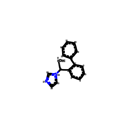 CCCCCCCCCCC(c1ccccc1-c1ccccc1)n1ccnc1